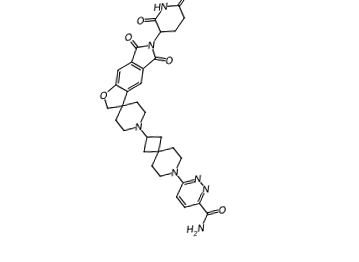 NC(=O)c1ccc(N2CCC3(CC2)CC(N2CCC4(CC2)COc2cc5c(cc24)C(=O)N(C2CCC(=O)NC2=O)C5=O)C3)nn1